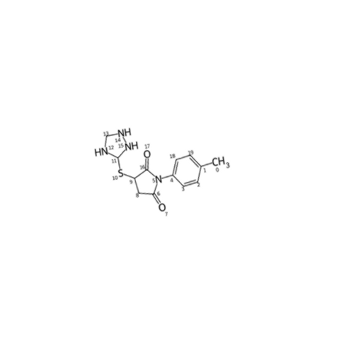 Cc1ccc(N2C(=O)CC(SC3NCNN3)C2=O)cc1